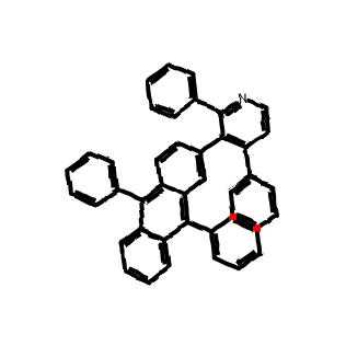 c1ccc(-c2ccnc(-c3ccccc3)c2-c2ccc3c(-c4ccccc4)c4ccccc4c(-c4ccccc4)c3c2)cc1